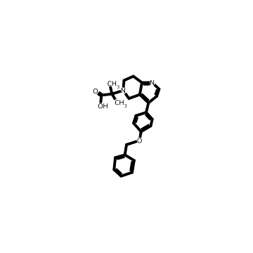 CC(C)(C(=O)O)N1CCc2nccc(-c3ccc(OCc4ccccc4)cc3)c2C1